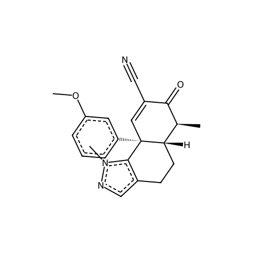 COc1cccc([C@]23C=C(C#N)C(=O)[C@@H](C)[C@@H]2CCc2cnn(C)c23)c1